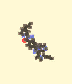 CC#CCN(C)C(C)C1=C2C=NC=C[N+]2(C)C(c2ccc(C(=O)Nc3cc(CCC)ccn3)cc2)=N1